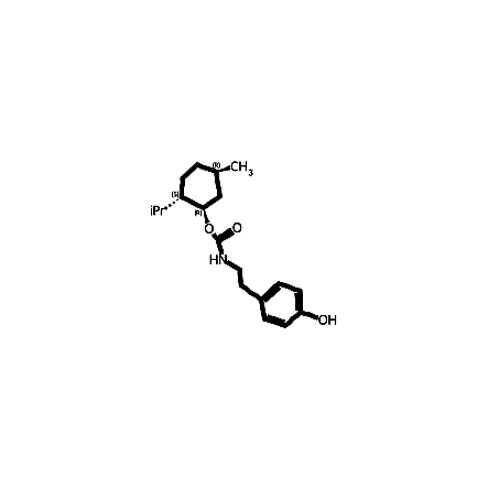 CC(C)[C@@H]1CC[C@@H](C)C[C@H]1OC(=O)NCCc1ccc(O)cc1